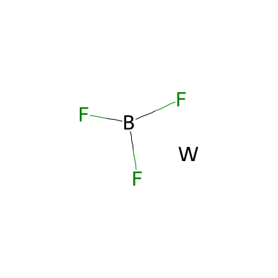 FB(F)F.[W]